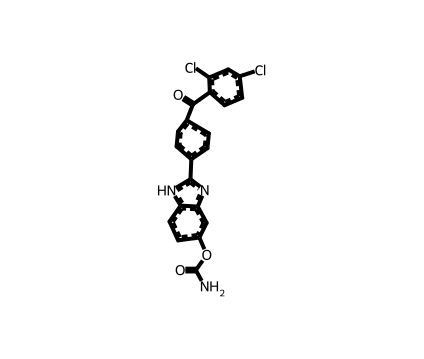 NC(=O)Oc1ccc2[nH]c(-c3ccc(C(=O)c4ccc(Cl)cc4Cl)cc3)nc2c1